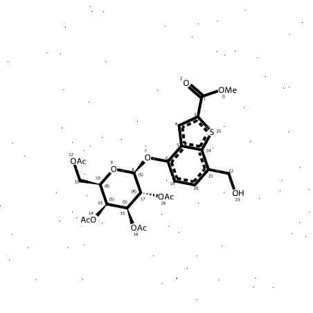 COC(=O)c1cc2c(O[C@@H]3O[C@H](COC(C)=O)[C@H](OC(C)=O)[C@H](OC(C)=O)[C@H]3OC(C)=O)ccc(CO)c2s1